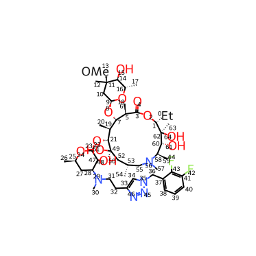 CC[C@H]1OC(=O)[C@H](C)[C@@H](O[C@H]2C[C@@](C)(OC)[C@@H](O)[C@H](C)O2)[C@H](C)[C@@H](O[C@@H]2O[C@H](C)C[C@H](N(C)CCc3cn(Cc4cccc(F)c4F)nn3)[C@H]2O)[C@](C)(O)C[C@@H](C)CN(C)[C@H](C)[C@@H](O)[C@]1(C)O